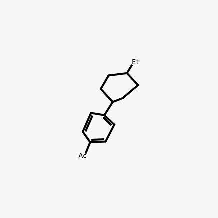 CCC1CCC(c2ccc(C(C)=O)cc2)CC1